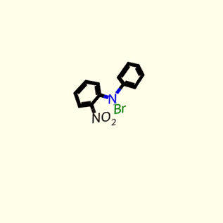 O=[N+]([O-])c1ccccc1N(Br)c1ccccc1